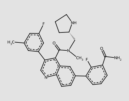 Cc1cc(F)cc(-c2cnc3ccc(-c4cccc(C(N)=O)c4F)cc3c2C(=O)N(C)C[C@@H]2CCCN2)c1